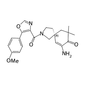 COc1ccc(-c2ocnc2C(=O)N2CC[C@]3(C=C(N)C(=O)C(C)(C)C3)C2)cc1